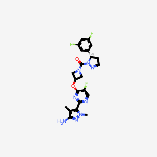 Cc1c(N)nn(C)c1-c1ncc(F)c(OC2CN(C(=O)N3N=CC[C@H]3c3cc(F)cc(F)c3)C2)n1